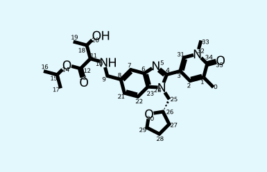 Cc1cc(-c2nc3cc(CNC(C(=O)OC(C)C)C(C)O)ccc3n2C[C@@H]2CCCO2)cn(C)c1=O